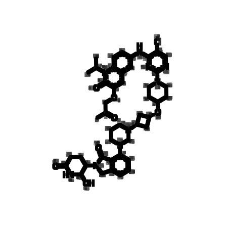 CC(=O)COc1cc2cc(Nc3nc(N4CCC(O[C@H]5C[C@H](N6CCCN(c7cccc8c7C(=O)N(C7CCC(=O)NC7O)C8)C6)C5)CC4)ncc3Cl)ccc2n(C(C)C)c1=O